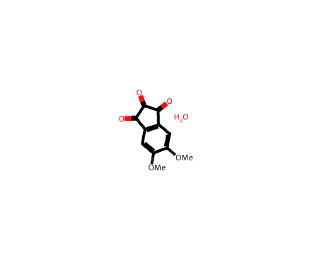 COc1cc2c(=O)c(=O)c(=O)c2cc1OC.O